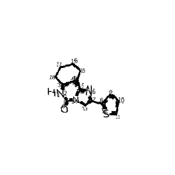 O=c1[nH]c2c(c3nc(-c4cccs4)cn13)CCCC2